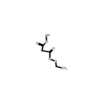 CCOOC(=O)CC(=O)OO